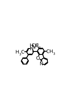 Cc1c[n+](C)c(-c2c(C)cc(C)c3c2oc2ncccc23)cc1-c1ccccc1